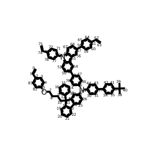 C=Cc1ccc(OCCCCC2(c3ccccc3)c3ccccc3-c3ccc(N(c4ccc(-c5ccc(C(C)(C)C)cc5)cc4)c4ccc(-c5ccc6c(c5)c5cc(-c7ccc(C=C)cc7)ccc5n6-c5ccc(C=C)cc5)cc4)cc32)cc1